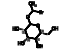 CC(Br)OC1O[C@H](CO)[C@@H](O)[C@H](O)[C@@H]1O